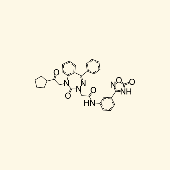 O=C(CN1N=C(c2ccccc2)c2ccccc2N(CC(=O)C2CCCC2)C1=O)Nc1cccc(-c2noc(=O)[nH]2)c1